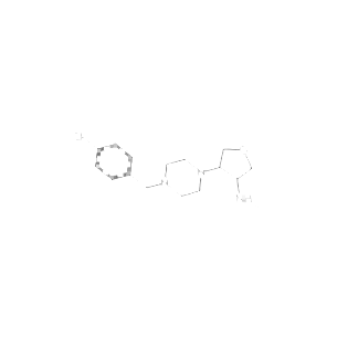 NC1COCC1N1CCN(Cc2ccc(Cl)cc2)CC1